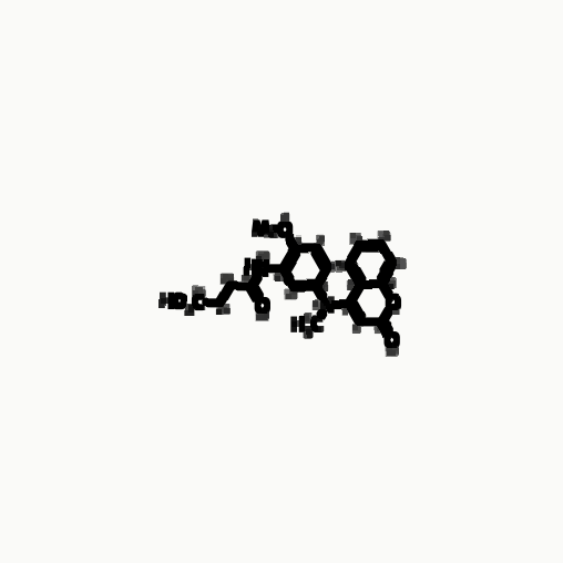 COc1ccc(N(C)c2cc(=O)oc3ccccc23)cc1NC(=O)CCC(=O)O